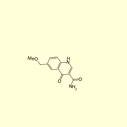 COCc1ccc2[nH]cc(C(N)=O)c(=O)c2c1